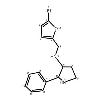 CCc1ccc(CNC2CCNC2c2ccccc2)o1